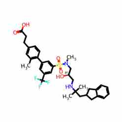 Cc1cc(CCC(=O)O)ccc1-c1cc(C(F)(F)F)cc(S(=O)(=O)N(C)C[C@H](O)CNC(C)(C)CC2Cc3ccccc3C2)c1